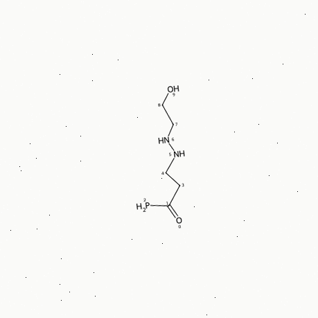 O=C(P)CCNNCCO